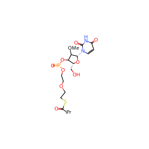 COC1C(O[PH](=O)OCCOCCSC(=O)C(C)C)[C@@H](CO)O[C@H]1n1ccc(=O)[nH]c1=O